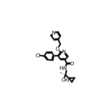 C[C@](O)(CNC(=O)c1cnc(OCc2ccncc2)c(-c2ccc(Cl)cc2)c1)C1CC1